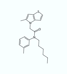 CCCCCCN(C(=O)Cn1c(C)cc2sccc21)c1cccc(C)c1